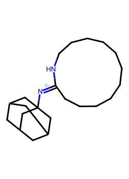 C1CCCCCN/C(=N/C23CC4CC(CC(C4)C2)C3)CCCCC1